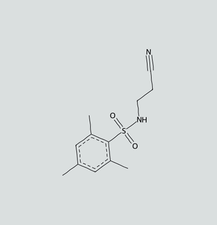 Cc1cc(C)c(S(=O)(=O)NCCC#N)c(C)c1